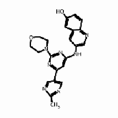 Cc1ncc(-c2cc(Nc3cnc4ccc(O)cc4c3)nc(N3CCOCC3)n2)cn1